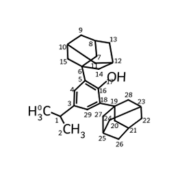 CC(C)c1cc(C23CC4CC(CC(C4)C2)C3)c(O)c(C23CC4CC(CC(C4)C2)C3)c1